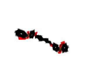 O=S(=O)(c1ccc(OCCCCCCOc2ccc(S(=O)(=O)c3ccccc3O)cc2)cc1)c1ccccc1O